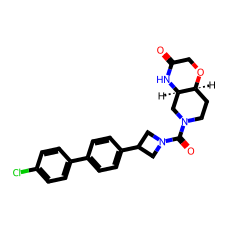 O=C1CO[C@H]2CCN(C(=O)N3CC(c4ccc(-c5ccc(Cl)cc5)cc4)C3)C[C@H]2N1